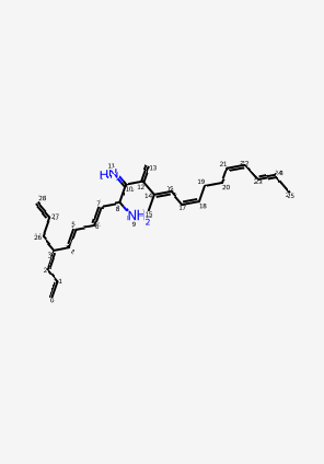 C=C\C=C(/C=C/C=C/C(N)C(=N)C(=C)/C(C)=C/C=C\CC/C=C\C=C\C)CC=C